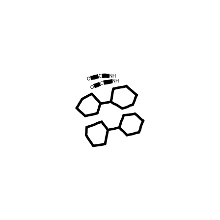 C1CCC(C2CCCCC2)CC1.C1CCC(C2CCCCC2)CC1.N=C=O.N=C=O